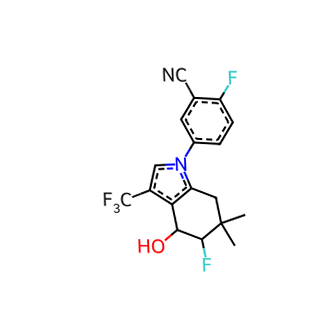 CC1(C)Cc2c(c(C(F)(F)F)cn2-c2ccc(F)c(C#N)c2)C(O)C1F